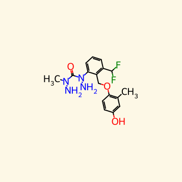 Cc1cc(O)ccc1OCc1c(C(F)F)cccc1N(N)C(=O)N(C)N